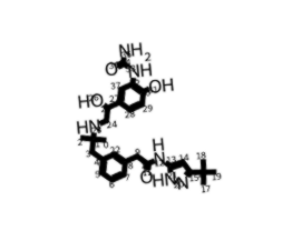 CC(C)(Cc1cccc(CC(=O)Nc2cc(C(C)(C)C)n[nH]2)c1)NCC(O)c1ccc(O)c(NC(N)=O)c1